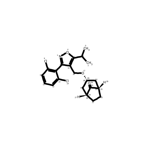 CC(C)c1onc(-c2c(Cl)cccc2Cl)c1CO[C@H]1C[C@H]2CC[C@@H](C1)C2=O